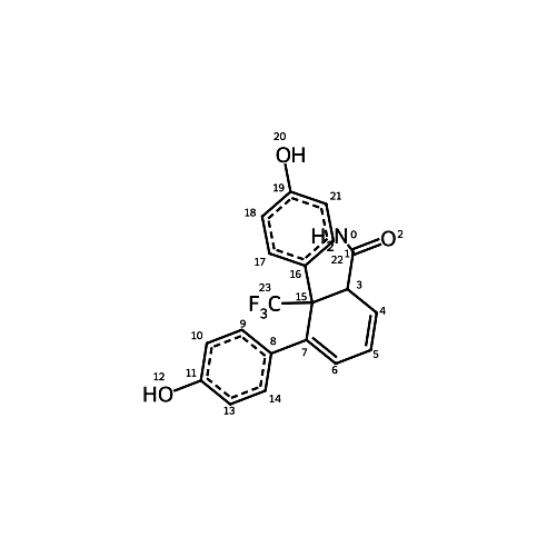 NC(=O)C1C=CC=C(c2ccc(O)cc2)C1(c1ccc(O)cc1)C(F)(F)F